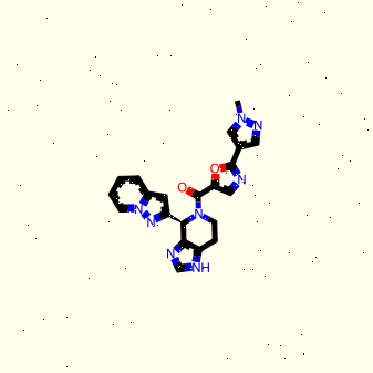 Cn1cc(-c2ncc(C(=O)N3CCc4[nH]cnc4[C@H]3c3cc4ccccn4n3)o2)cn1